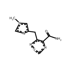 Cn1cnc(Cc2nccnc2C(N)=O)c1